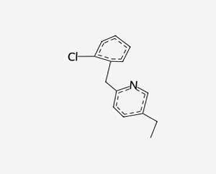 CCc1ccc(Cc2ccccc2Cl)nc1